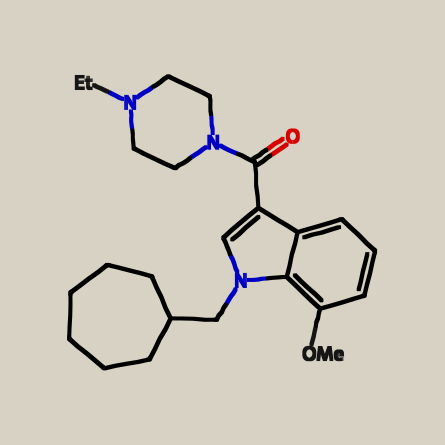 CCN1CCN(C(=O)c2cn(CC3CCCCCC3)c3c(OC)cccc23)CC1